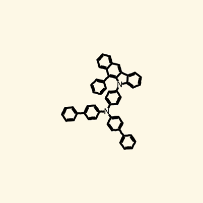 c1ccc(-c2ccc(N(c3ccc(-c4ccccc4)cc3)c3ccc(-n4c5ccccc5c5cc6ccccc6c(-c6ccccc6)c54)cc3)cc2)cc1